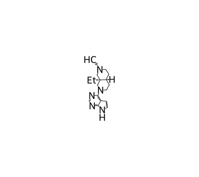 C#CN1CC[C@@H]2CCN(c3ncnc4[nH]ccc34)C[C@]2(CC)C1